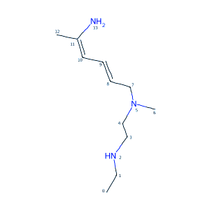 CCNCCN(C)C/C=C/C=C(/C)N